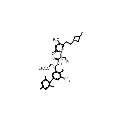 CCOC(=O)C[C@H](NC(=O)[C@H](CC(C)C)n1nc(CCN2CC(F)C2)c(C(F)(F)F)cc1=O)c1cc(-c2c(C)cc(C)cc2C)cc(C(F)(F)F)c1F